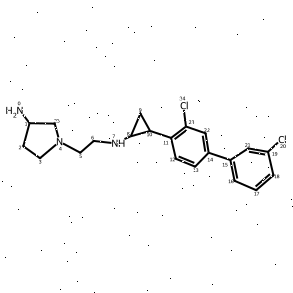 NC1CCN(CCNC2CC2c2ccc(-c3cccc(Cl)c3)cc2Cl)C1